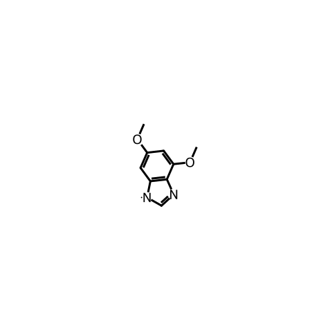 COc1cc2c(c(OC)c1)N=C[N]2